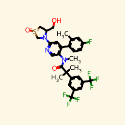 Cc1cc(F)ccc1-c1cc(N2C[S+]([O-])CC2CO)ncc1N(C)C(=O)C(C)(C)c1cc(C(F)(F)F)cc(C(F)(F)F)c1